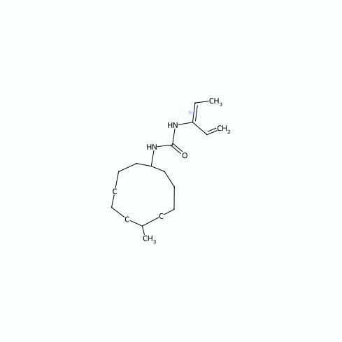 C=C/C(=C\C)NC(=O)NC1CCCCCC(C)CCCC1